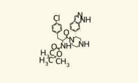 CC(C)(C)OC(=O)NC(Cc1ccc(Cl)cc1)C(=O)N1CCNC[C@H]1c1ccc2cn[nH]c2c1